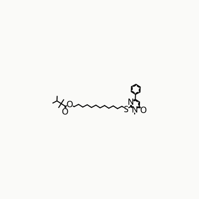 CC(C)C(C)(C)C(=O)OCCCCCCCCCCCCSc1nc(-c2ccccc2)cc(=O)n1C